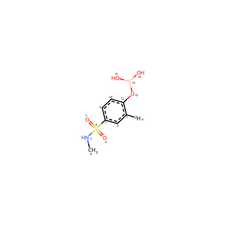 [2H]c1cc(S(=O)(=O)NC)ccc1OB(O)O